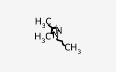 CCCCn1n[c]c(CC)c1C